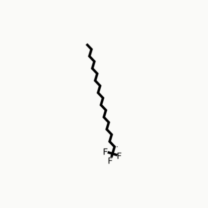 CCCCCCCCCCCCCCCCC[CH]C(F)(F)F